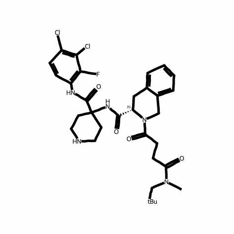 CN(CC(C)(C)C)C(=O)CCC(=O)N1Cc2ccccc2C[C@H]1C(=O)NC1(C(=O)Nc2ccc(Cl)c(Cl)c2F)CCNCC1